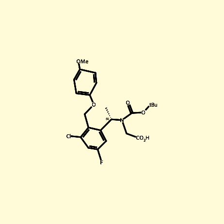 COc1ccc(OCc2c(Cl)cc(F)cc2[C@H](C)N(CC(=O)O)C(=O)OC(C)(C)C)cc1